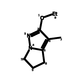 CCOc1nn2c(c1C)CCC2